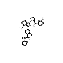 Nc1nccn2c(C3CCCN3C(=O)c3ccnc(Cl)n3)nc(-c3ccc(C(=O)Nc4ccccn4)c(F)c3)c12